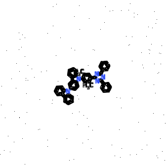 Cc1cc(-n2c3ccccc3c3cc(-n4c5ccccc5c5ccccc54)ccc32)c(C)cc1-c1nc(C2=CCCC=C2)nc(-c2ccccc2)n1